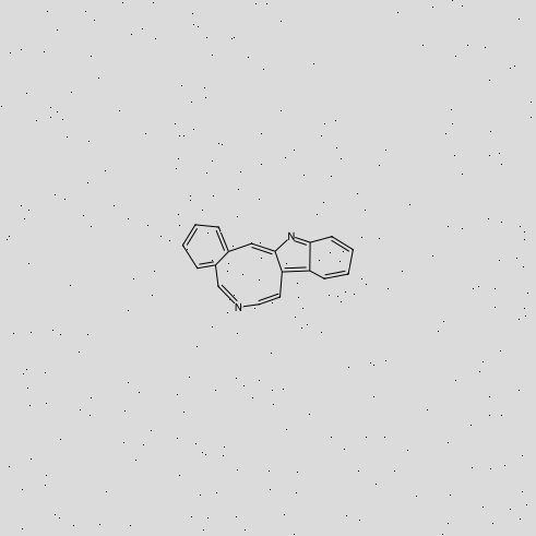 C1=CC2=c3ccccc3=NC2=Cc2ccccc2C=N1